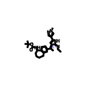 CC/N=C1/NC(c2cnn(C)c2)=C/C1=C(/C)c1ccc2c(c1)CCCCC2NC(=O)OC(C)(C)C